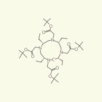 CC[C@H]1CN(CC(=O)OC(C)(C)C)[C@@H](CC)CN(CC(=O)OC(C)(C)C)[C@@H](CC)CN(CC(=O)OC(C)(C)C)[C@@H](CC)CN1CC(=O)OC(C)(C)C